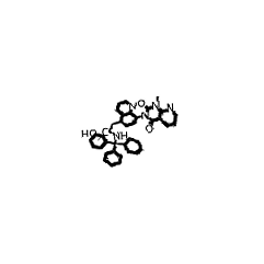 Cn1c(=O)n(-c2ccc(CC(NC(c3ccccc3)(c3ccccc3)c3ccccc3)C(=O)O)c3cccnc23)c(=O)c2cccnc21